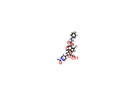 CC(=O)N1CCC(CCC(OC(=O)CO)C2(C)OCC(OC(=O)/C=C/c3ccccc3)C3=C(C)CCC32)CC1